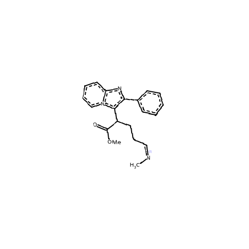 C/N=C\CCC(C(=O)OC)c1c(-c2ccccc2)nc2ccccn12